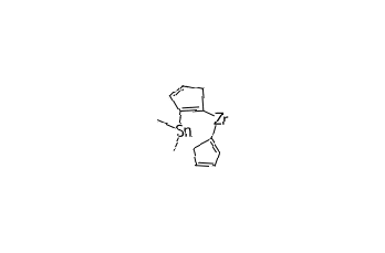 [CH3][Sn]([CH3])([CH3])[C]1=[C]([Zr][C]2=CC=CC2)CC=C1